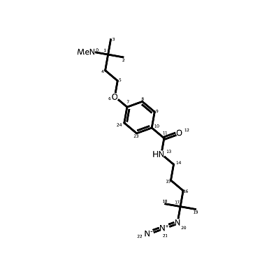 CNC(C)(C)CCOc1ccc(C(=O)NCCCC(C)(C)N=[N+]=[N-])cc1